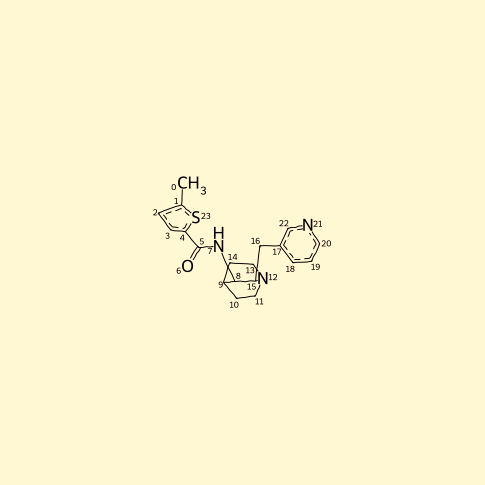 Cc1ccc(C(=O)NC2C3CCN(CC3)C2Cc2cccnc2)s1